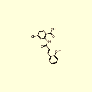 COc1ccccc1C=CC(=O)Nc1cc(Cl)ccc1C(=O)O